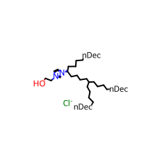 CCCCCCCCCCCCCCC(CCCCCCCCCCCCCC)CCCCC(CCCCCCCCCCCCCC)[n+]1ccn(CCO)c1.[Cl-]